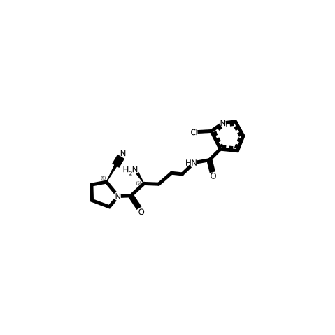 N#C[C@@H]1CCCN1C(=O)[C@@H](N)CCCNC(=O)c1cccnc1Cl